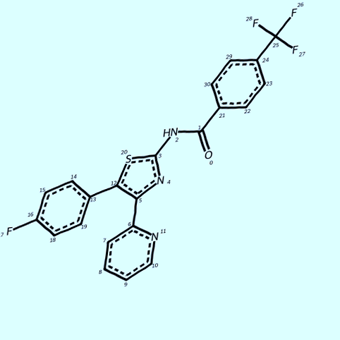 O=C(Nc1nc(-c2ccccn2)c(-c2ccc(F)cc2)s1)c1ccc(C(F)(F)F)cc1